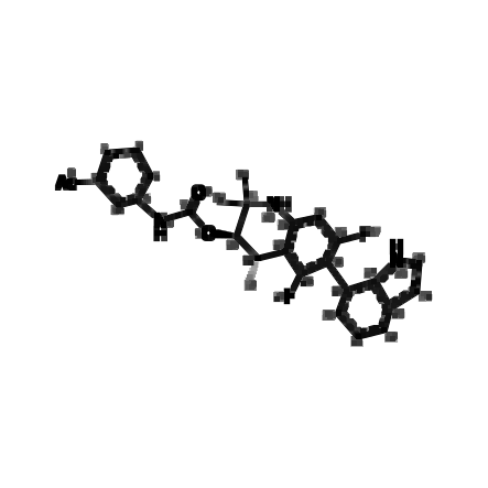 CC(=O)c1cccc(NC(=O)O[C@@H]2[C@@H](C)c3c(cc(F)c(-c4cccc5cc[nH]c45)c3F)NC2(C)C)c1